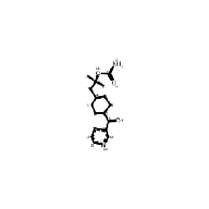 CC(C)(CC1CCC(C(=O)c2cccnc2)CC1)OC(N)=O